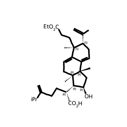 C=C(CC[C@@H](C(=O)O)[C@H]1[C@H](O)C[C@@]2(C)C3=CC[C@@H](C(=C)C)[C@](C)(CCC(=O)OCC)C3=CC[C@]12C)C(C)C